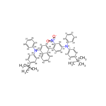 C[Si](C)(C)c1ccc(N(c2ccccc2)c2ccc(-c3ccc(N(c4ccccc4)c4ccc([Si](C)(C)C)cc4)c4ccccc34)c([N+](=O)[O-])c2)cc1